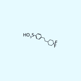 O=S(=O)(O)c1ccc(CCC2CCC(F)(F)CC2)cc1